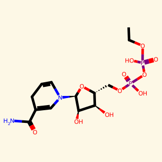 CCOP(=O)(O)OP(=O)(O)OC[C@H]1O[C@H](N2C=CCC(C(N)=O)=C2)[C@H](O)[C@@H]1O